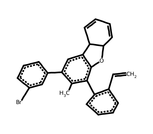 C=Cc1ccccc1-c1c(C)c(-c2cccc(Br)c2)cc2c1OC1C=CC=CC21